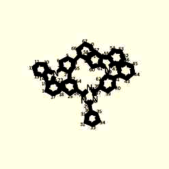 c1ccc(-c2ccc(-n3c4ccccc4c4ccccc43)c(-c3cccc(-c4nc(-c5ccccc5)nc(-c5ccc(-c6ccccc6)c(-n6c7ccccc7c7ccccc76)c5)n4)c3)c2)cc1